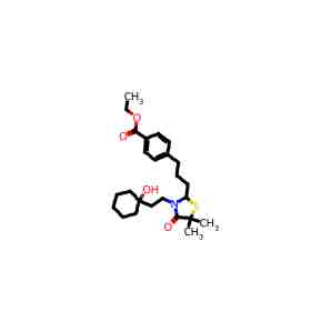 CCOC(=O)c1ccc(CCCC2SC(C)(C)C(=O)N2CCC2(O)CCCCC2)cc1